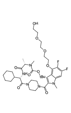 C[C@@H](C(=O)N[C@H](C(=O)N1CCN(C(=O)c2cc3c(OCCOCCOCCO)c(F)c(F)cc3n2C)CC1)C1CCCCC1)N(C)C(=O)OC(C)(C)C